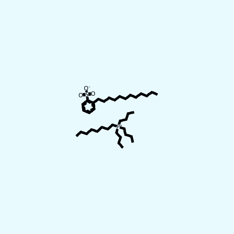 CCCCCCCCCCCCc1ccccc1S(=O)(=O)[O-].CCCCCCCC[P+](CCCC)(CCCC)CCCC